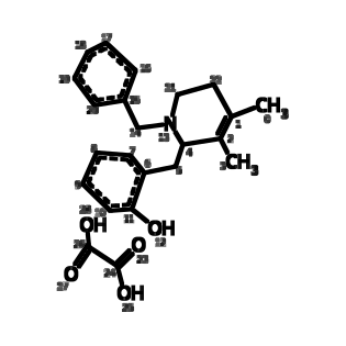 CC1=C(C)C(Cc2ccccc2O)N(Cc2ccccc2)CC1.O=C(O)C(=O)O